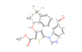 COC(=O)c1sc(-n2cnc3ccc(C=O)cc32)cc1O[C@H](C)c1ccccc1C(F)(F)F